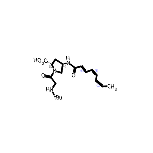 C\C=C/C=C\C=C\C(=O)N[C@@H]1C[C@@H](C(=O)O)N(C(=O)CNC(C)(C)C)C1